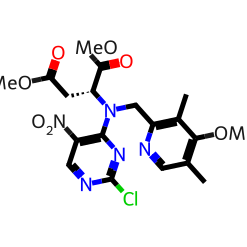 COC(=O)C[C@H](C(=O)OC)N(Cc1ncc(C)c(OC)c1C)c1nc(Cl)ncc1[N+](=O)[O-]